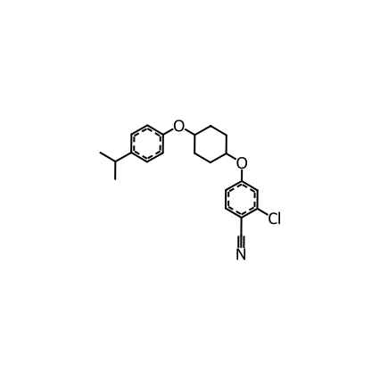 CC(C)c1ccc(OC2CCC(Oc3ccc(C#N)c(Cl)c3)CC2)cc1